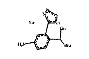 CCCCC(O)c1ccc(N)cc1-c1nnn[nH]1.[Na]